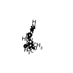 CC(=O)c1c(C)c2cnc(Nc3ccc(N4CC5(CNC5)C4)cn3)nc2n(C23CC(C2)C3)c1=O